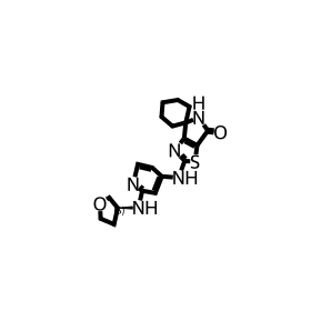 O=C1NC2(CCCCC2)c2nc(Nc3ccnc(N[C@H]4CCOC4)c3)sc21